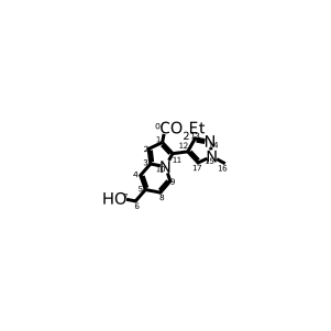 CCOC(=O)c1cc2cc(CO)ccn2c1-c1cnn(C)c1